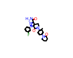 Cc1cc(N2CCCCC2=O)ccc1N1CCc2c(C(N)=O)nn(-c3cccc(F)c3)c2C1=O